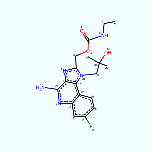 CCNC(=O)OCc1nc2c(N)nc3cc(Br)ccc3c2n1CC(C)(C)O